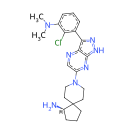 CN(C)c1cccc(-c2n[nH]c3nc(N4CCC5(CCC[C@H]5N)CC4)cnc23)c1Cl